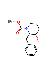 CC(C)(C)OC(=O)N1CCC[C@@H](O)[C@H]1Cc1ccccc1